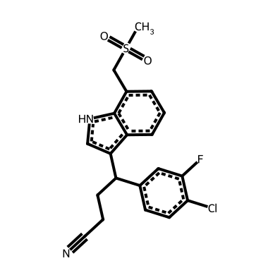 CS(=O)(=O)Cc1cccc2c(C(CCC#N)c3ccc(Cl)c(F)c3)c[nH]c12